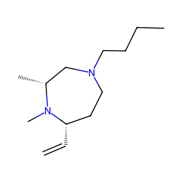 C=C[C@H]1CCN(CCCC)C[C@@H](C)N1C